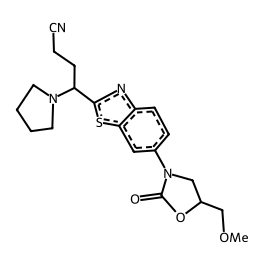 COCC1CN(c2ccc3nc(C(CCC#N)N4CCCC4)sc3c2)C(=O)O1